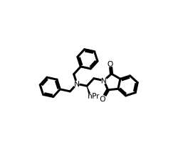 CCC[C@H](CN1C(=O)c2ccccc2C1=O)N(Cc1ccccc1)Cc1ccccc1